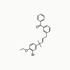 CCOc1ccc(C(C)(C)C=CCc2cccc(C(=O)c3ccccc3)c2)cc1Br